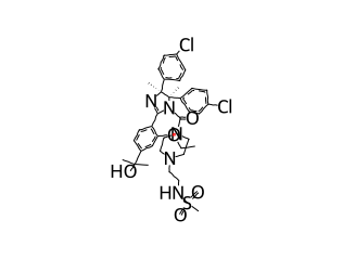 CCOc1cc(C(C)(C)O)ccc1C1=N[C@@](C)(c2ccc(Cl)cc2)[C@@](C)(c2ccc(Cl)cc2)N1C(=O)N1CCN(CCNS(C)(=O)=O)CC1